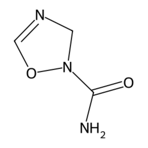 NC(=O)N1CN=CO1